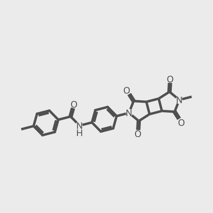 Cc1ccc(C(=O)Nc2ccc(N3C(=O)C4C5C(=O)N(C)C(=O)C5C4C3=O)cc2)cc1